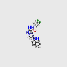 O=C(NC1CCC(F)(F)CC1)c1cnn2ccc(NC3CCc4ccccc43)nc12